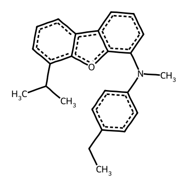 CCc1ccc(N(C)c2cccc3c2oc2c(C(C)C)cccc23)cc1